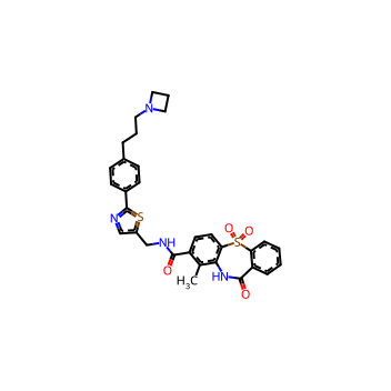 Cc1c(C(=O)NCc2cnc(-c3ccc(CCCN4CCC4)cc3)s2)ccc2c1NC(=O)c1ccccc1S2(=O)=O